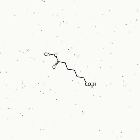 O=NOC(=O)CCCCCC(=O)O